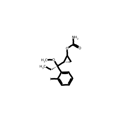 CC[C@@](OC)(c1ccccc1I)[C@H]1CC1OC(N)=O